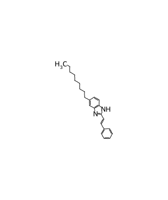 CCCCCCCCCc1ccc2[nH]c(C=Cc3ccccc3)nc2c1